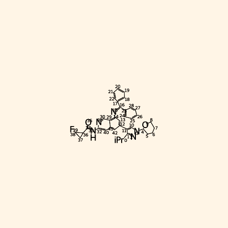 CC(C)c1nn(C2CCCCO2)cc1-c1cc(N=C(c2ccccc2)c2ccccc2)c2cnc(NC(=O)C3CC3F)cc2c1